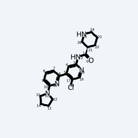 O=C(Nc1cc(-c2cccc(N3CCCC3)n2)c(Cl)cn1)[C@@H]1CCCNC1